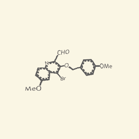 COc1ccc(COc2c(C=O)nc3ccc(OC)cc3c2Br)cc1